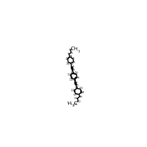 CCCCC1CCC(C#Cc2ccc(C#CC3CCC(CCCC)CC3)cc2)CC1